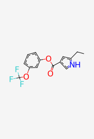 CCc1cc(C(=O)Oc2cccc(OC(F)(F)F)c2)c[nH]1